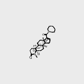 CN1C(=O)CC[C@]2(C)[C@H]3CC[C@]4(C)C(C(=O)N5CCCCCC5)=CC[C@H]4[C@@H]3CC[C@@H]12